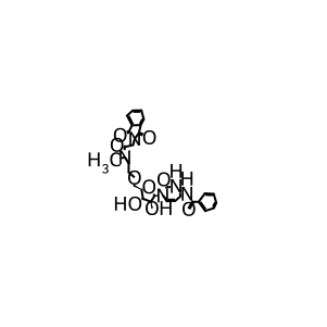 CN(CCOC[C@H]1O[C@@H](N2C=CC(NC(=O)c3ccccc3)NC2=O)[C@@H](O)C1O)C(=O)CN1C(=O)c2ccccc2C1=O